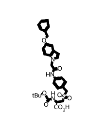 CC(C)(C)OC(=O)N[C@H](CS(=O)(=O)Cc1ccc(NC(=O)Cn2ccc3cc(OCc4ccccc4)ccc32)cc1)C(=O)O